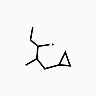 CCC([O])C(C)CC1CC1